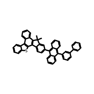 CC1(C)c2cc(-c3c4ccccc4c(-c4cccc(-c5ccccc5)c4)c4ccccc34)ccc2-c2c1c1ccccc1c1c2sc2ccccc21